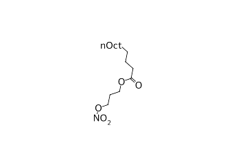 CCCCCCCCCCCC(=O)OCCCO[N+](=O)[O-]